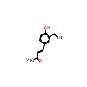 COC(=O)C=Cc1ccc(O)c(CC#N)c1